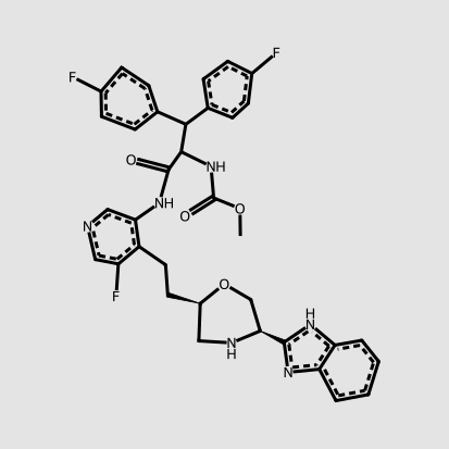 COC(=O)NC(C(=O)Nc1cncc(F)c1CC[C@@H]1CN[C@H](c2nc3ccccc3[nH]2)CO1)C(c1ccc(F)cc1)c1ccc(F)cc1